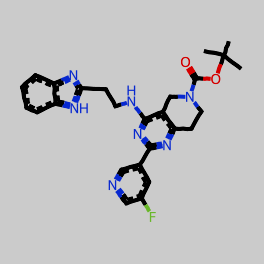 CC(C)(C)OC(=O)N1CCc2nc(-c3cncc(F)c3)nc(NCCc3nc4ccccc4[nH]3)c2C1